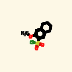 COc1cc2c(cc1S(=O)(=O)Cl)CCCC2